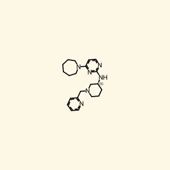 c1ccc(CN2CCC[C@H](Nc3nccc(N4CCCCCC4)n3)C2)nc1